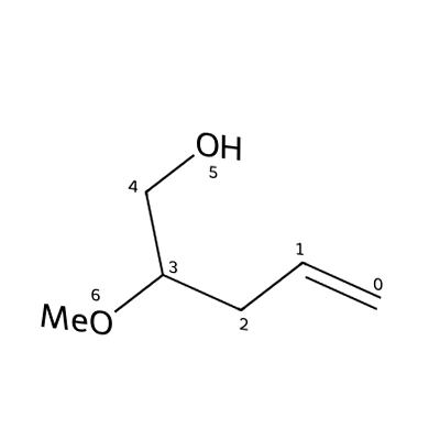 C=CCC(CO)OC